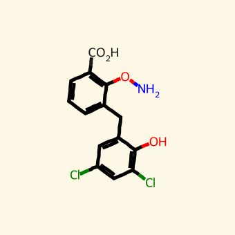 NOc1c(Cc2cc(Cl)cc(Cl)c2O)cccc1C(=O)O